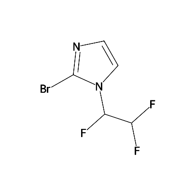 FC(F)C(F)n1ccnc1Br